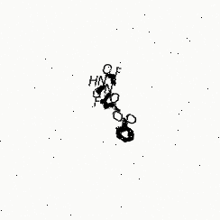 O=C(OC[C@H]1CC(F)[C@@H](n2cc(F)c(=O)[nH]c2=O)O1)c1ccccc1